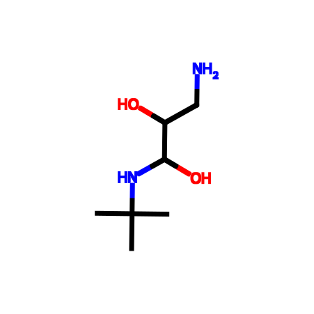 CC(C)(C)NC(O)C(O)CN